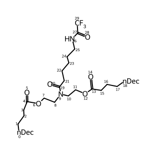 CCCCCCCCCCCCCC(=O)OCCN(CCOC(=O)CCCCCCCCCCCCC)C(=O)CCCCCNC(=O)C(F)(F)F